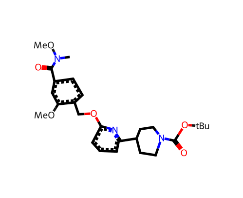 COc1cc(C(=O)N(C)OC)ccc1COc1cccc(C2CCN(C(=O)OC(C)(C)C)CC2)n1